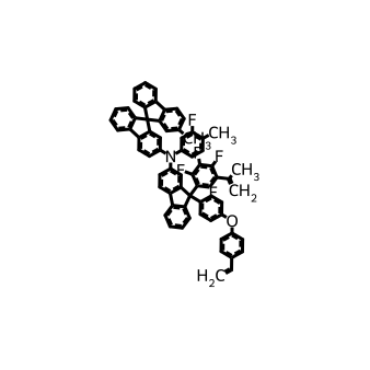 C=Cc1ccc(Oc2ccc(C3(c4c(F)c(F)c(F)c(C(=C)C)c4F)c4ccccc4-c4ccc(N(c5ccc(C)c(F)c5)c5ccc6c(c5)C5(c7ccccc7-c7ccc(C)cc75)c5ccccc5-6)cc43)cc2)cc1